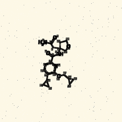 NC(=O)CC1(NC(=O)c2ccc(C3CC3)c(OCC3CC3)n2)CCOC1